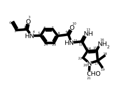 C=CC(=O)Nc1ccc(C(=O)NC(=N)C2=C(N)C(C)(C)N(C=O)C2)cc1